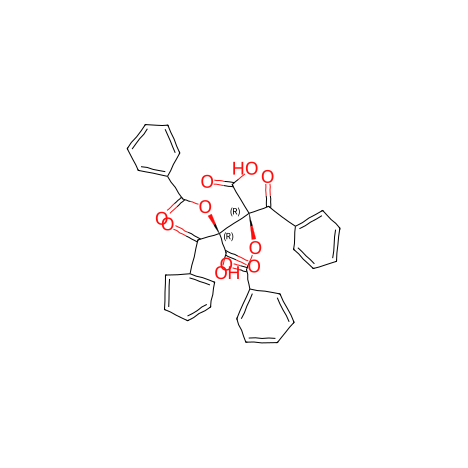 O=C(O[C@@](C(=O)O)(C(=O)c1ccccc1)[C@](OC(=O)c1ccccc1)(C(=O)O)C(=O)c1ccccc1)c1ccccc1